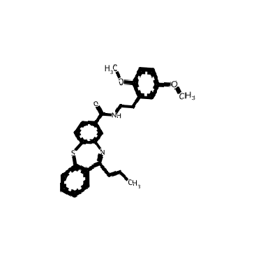 CCCC1=Nc2cc(C(=O)NCCc3cc(OC)ccc3OC)ccc2Sc2ccccc21